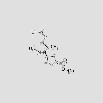 C=NN(/C(C)=N/C=N\CC)[C@@H]1CCN(C(=O)OC(C)(C)C)C1